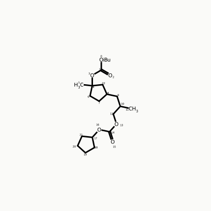 CC(C)COC(=O)OC1(C)CCC(CC(C)COC(=O)OC2CCCC2)C1